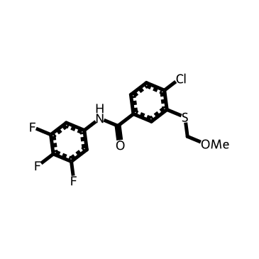 COCSc1cc(C(=O)Nc2cc(F)c(F)c(F)c2)ccc1Cl